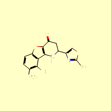 COc1ccc2oc3c(c2c1Cl)NC(c1csc(C(C)C)n1)CC3=O